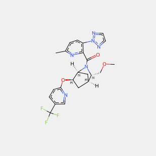 COC[C@@H]1[C@H]2C[C@@H](Oc3ccc(C(F)(F)F)cn3)[C@H](C2)N1C(=O)c1nc(C)ccc1-n1nccn1